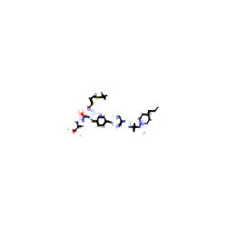 CCCC1CCN(C(=O)C(C)(C)CNc2cnc(-c3ccc(C[C@H](NC(=O)c4ccc(C(C)(C)C)s4)C(=O)N4CC(C(=O)O)C4)cc3)nc2)CC1